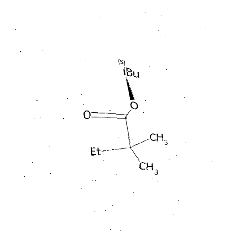 CC[C@H](C)OC(=O)C(C)(C)CC